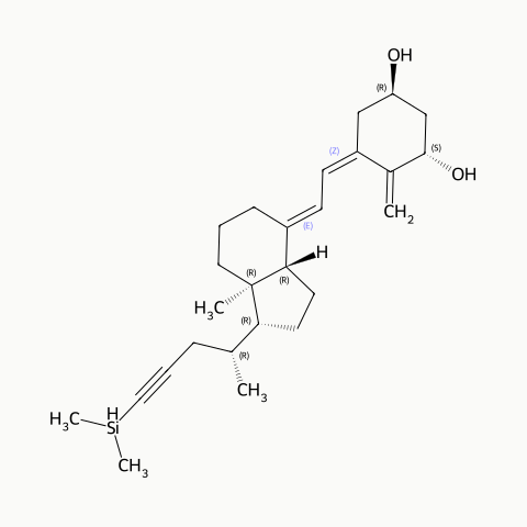 C=C1/C(=C\C=C2/CCC[C@]3(C)[C@@H]([C@H](C)CC#C[SiH](C)C)CC[C@@H]23)C[C@@H](O)C[C@@H]1O